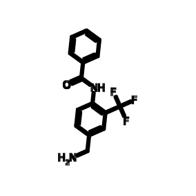 NCc1ccc(NC(=O)c2ccccc2)c(C(F)(F)F)c1